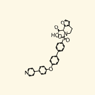 O=C(O)C1c2occc2CCN1S(=O)(=O)c1ccc(-c2ccc(Oc3ccc(-c4ccncc4)cc3)cc2)cc1